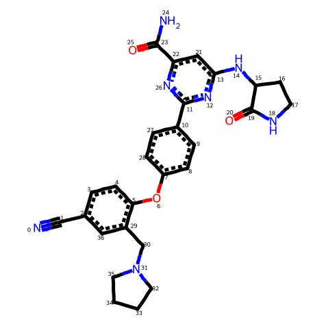 N#Cc1ccc(Oc2ccc(-c3nc(NC4CCNC4=O)cc(C(N)=O)n3)cc2)c(CN2CCCC2)c1